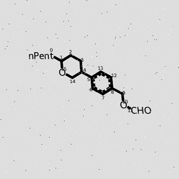 CCCCCC1CCC(c2ccc(COC=O)cc2)CO1